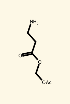 CC(=O)OCOC(=O)CCN